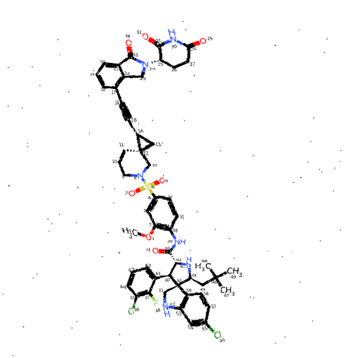 COc1cc(S(=O)(=O)N2CCC[C@]3(C[C@@H]3C#Cc3cccc4c3CN([C@H]3CCC(=O)NC3=O)C4=O)C2)ccc1NC(=O)[C@@H]1N[C@@H](CC(C)(C)C)[C@@]2(CNc3cc(Cl)ccc32)[C@H]1c1cccc(Cl)c1F